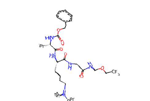 CCCN(CCC)CCCC[C@H](NC(=O)[C@@H](NC(=O)OCc1ccccc1)C(C)C)C(=O)NCC(=O)NCOCC(F)(F)F